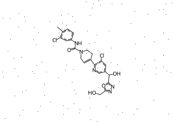 Cc1ccc(NC(=O)N2CC=C(c3ncc(C(O)c4nnc(CO)o4)cc3Cl)CC2)cc1Cl